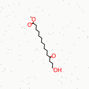 COC(=O)CCCCCCCCCCC(=O)CCCO